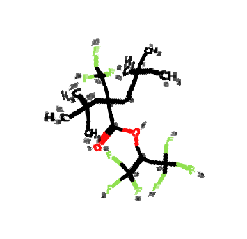 CC(C)(C)CC(C(=O)OC(C(F)(F)F)C(F)(F)F)(C(C)(C)C)C(F)(F)F